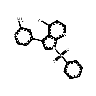 Nc1cc(-c2cn(S(=O)(=O)c3ccccc3)c3nccc(Cl)c23)ccn1